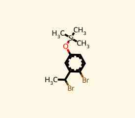 CC(Br)c1cc(O[Si](C)(C)C)ccc1Br